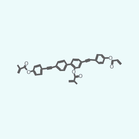 C=CC(=O)Oc1ccc(C#Cc2ccc(-c3ccc(C#Cc4ccc(OC(=O)C(=C)C)cc4)cc3)c(OC(=O)C(=C)C)c2)cc1